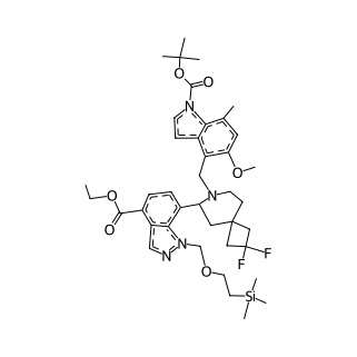 CCOC(=O)c1ccc(C2CC3(CCN2Cc2c(OC)cc(C)c4c2ccn4C(=O)OC(C)(C)C)CC(F)(F)C3)c2c1cnn2COCC[Si](C)(C)C